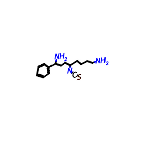 NCCCCC(CCC(N)c1ccccc1)N=C=S